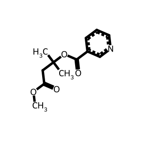 COC(=O)CC(C)(C)OC(=O)c1cccnc1